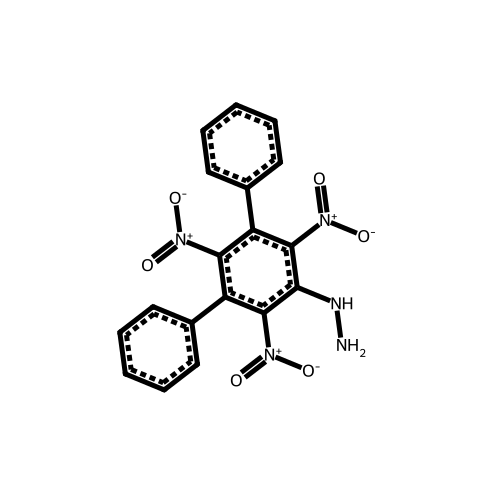 NNc1c([N+](=O)[O-])c(-c2ccccc2)c([N+](=O)[O-])c(-c2ccccc2)c1[N+](=O)[O-]